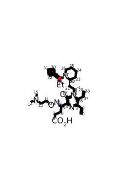 C=Cc1nc(/C(CCC(=O)O)=N/OCCN(C)C)c(=O)n([C@@H](C)C[C@@H]2CCCCN2C=C2C3CC2C3=CCC)c1C=C